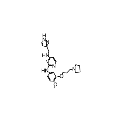 COc1ccc(Nc2nccc(NCc3cc[nH]n3)n2)cc1OCCCN1CCCC1